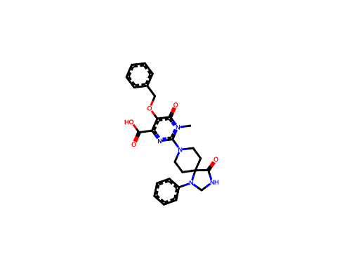 Cn1c(N2CCC3(CC2)C(=O)NCN3c2ccccc2)nc(C(=O)O)c(OCc2ccccc2)c1=O